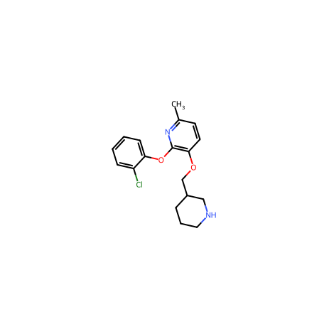 Cc1ccc(OCC2CCCNC2)c(Oc2ccccc2Cl)n1